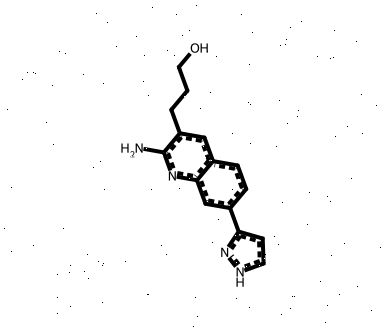 Nc1nc2cc(-c3cc[nH]n3)ccc2cc1CCCO